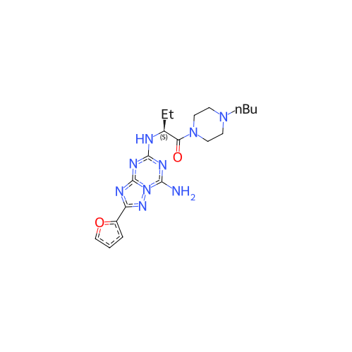 CCCCN1CCN(C(=O)[C@H](CC)Nc2nc(N)n3nc(-c4ccco4)nc3n2)CC1